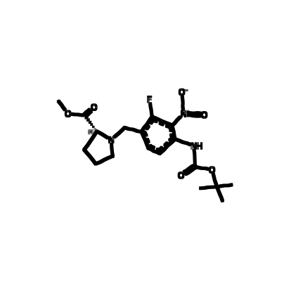 COC(=O)[C@H]1CCCN1Cc1ccc(NC(=O)OC(C)(C)C)c([N+](=O)[O-])c1F